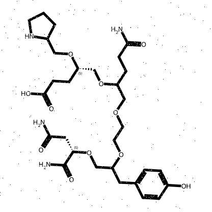 NC(=O)CCC(COCCOC(CO[C@@H](CC(N)=O)C(N)=O)Cc1ccc(O)cc1)OC[C@H](CCC(=O)O)OCC1CCCN1